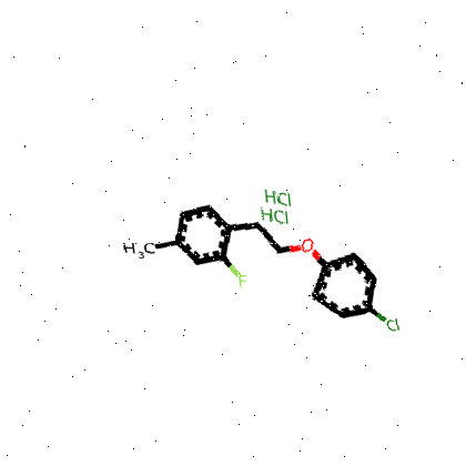 Cc1ccc(CCOc2ccc(Cl)cc2)c(F)c1.Cl.Cl